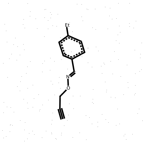 C#CCON=[C]c1ccc(CC)cc1